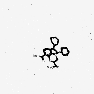 COC(=O)c1ccc2c(C3CCCCC3)c(-c3ccccc3)n3c2c1OC(C(=O)OC)C3